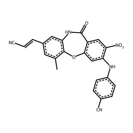 Cc1cc(/C=C/C#N)cc2c1Oc1cc(Nc3ccc(C#N)cc3)c([N+](=O)[O-])cc1C(=O)N2